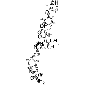 CC(C)[C@H](C(=O)N[C@@H](Cc1ccc(OC(CO)CF)cc1)C(=O)O)n1cc(COc2ccc3nc(S(N)(=O)=O)sc3c2)nn1